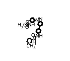 CN1CCCC(NC(=O)Nc2ccc(-c3ccc4ncn(-c5cccc(NS(C)(=O)=O)c5)c4c3)cc2)C1